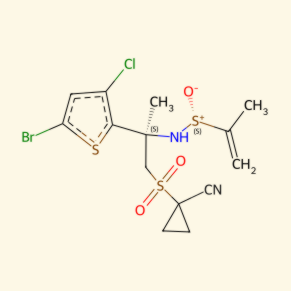 C=C(C)[S@@+]([O-])N[C@@](C)(CS(=O)(=O)C1(C#N)CC1)c1sc(Br)cc1Cl